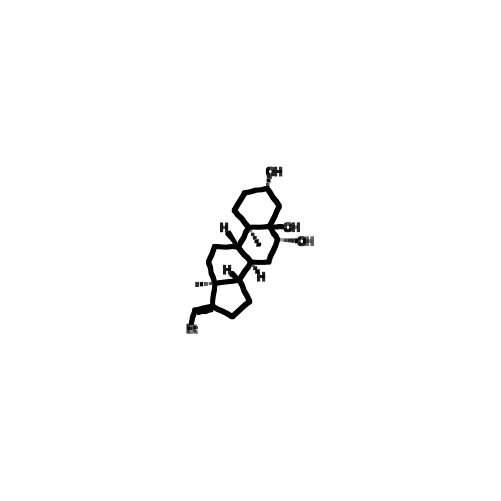 CCC=C1CC[C@H]2[C@@H]3C[C@@H](O)C4(O)C[C@@H](O)CC[C@]4(C)[C@H]3CC[C@]12C